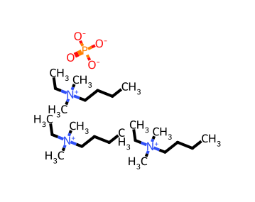 CCCC[N+](C)(C)CC.CCCC[N+](C)(C)CC.CCCC[N+](C)(C)CC.O=P([O-])([O-])[O-]